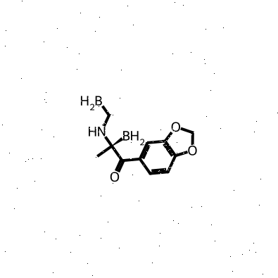 BCN[C@@](B)(C)C(=O)c1ccc2c(c1)OCO2